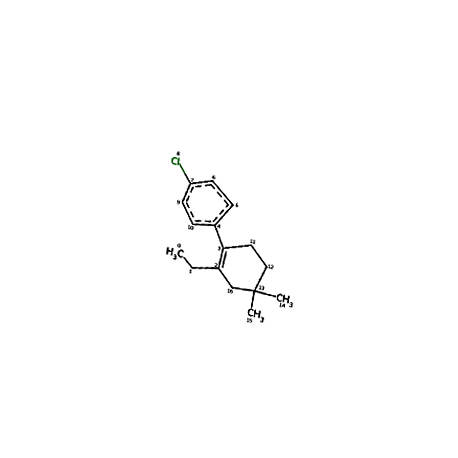 CCC1=C(c2ccc(Cl)cc2)CCC(C)(C)C1